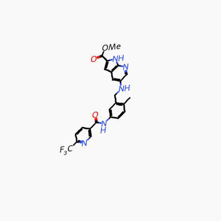 COC(=O)c1cc2cc(NCc3cc(NC(=O)c4ccc(C(F)(F)F)nc4)ccc3C)cnc2[nH]1